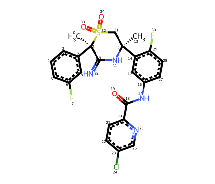 C[C@@]1(c2cccc(F)c2)C(=N)N[C@](C)(c2cc(NC(=O)c3ccc(Cl)cn3)ccc2F)CS1(=O)=O